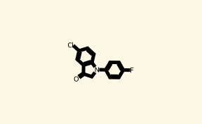 O=C1CN(c2ccc(F)cc2)c2ccc(Cl)cc21